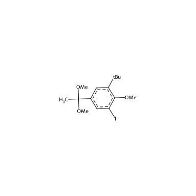 COc1c(I)cc(C(C)(OC)OC)cc1C(C)(C)C